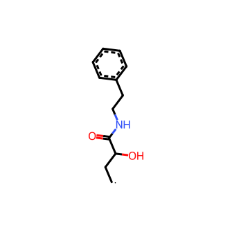 [CH2]CC(O)C(=O)NCCc1ccccc1